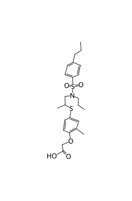 CCCc1ccc(S(=O)(=O)N(CCC)CC(C)Sc2ccc(OCC(=O)O)c(C)c2)cc1